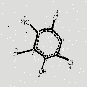 N#Cc1c(Cl)cc(Cl)c(O)c1Cl